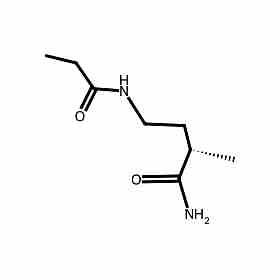 CCC(=O)NCC[C@H](C)C(N)=O